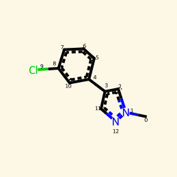 Cn1[c]c(-c2cccc(Cl)c2)cn1